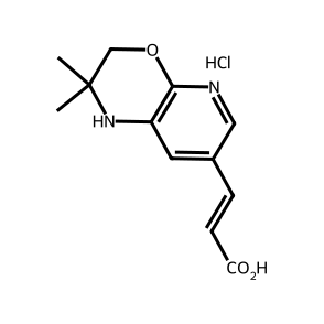 CC1(C)COc2ncc(C=CC(=O)O)cc2N1.Cl